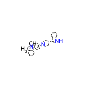 CN(C)C1(c2ccccc2)CCC(N2CCC(c3c[nH]c4ccccc34)CC2)CC1